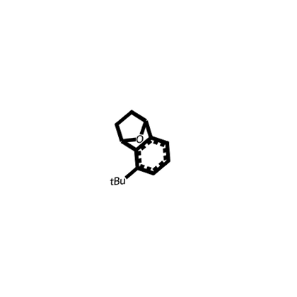 CC(C)(C)c1cccc2c1C1CCC2O1